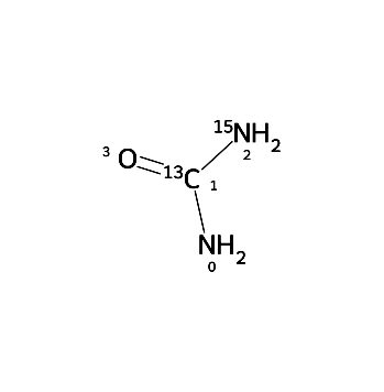 N[13C]([15NH2])=O